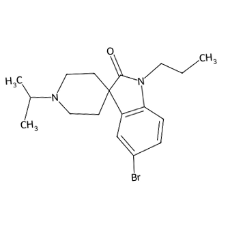 CCCN1C(=O)C2(CCN(C(C)C)CC2)c2cc(Br)ccc21